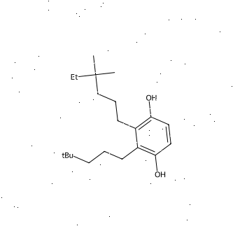 CCC(C)(C)CCCc1c(O)ccc(O)c1CCCC(C)(C)C